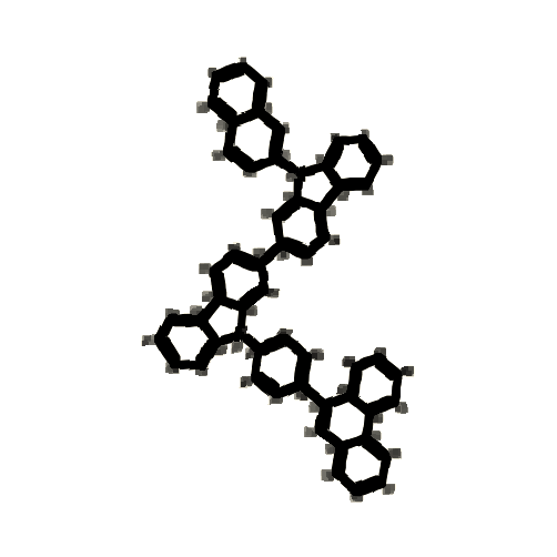 c1ccc2cc(-n3c4ccccc4c4ccc(-c5ccc6c7ccccc7n(-c7ccc(-c8cc9ccccc9c9ccccc89)cc7)c6c5)cc43)ccc2c1